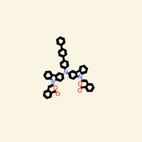 O=c1oc(-n2c3ccccc3c3cc(N(c4ccc(-c5ccc(-c6ccccc6)cc5)cc4)c4ccc5c(c4)c4ccccc4n5-c4cc5ccccc5c(=O)o4)ccc32)cc2ccccc12